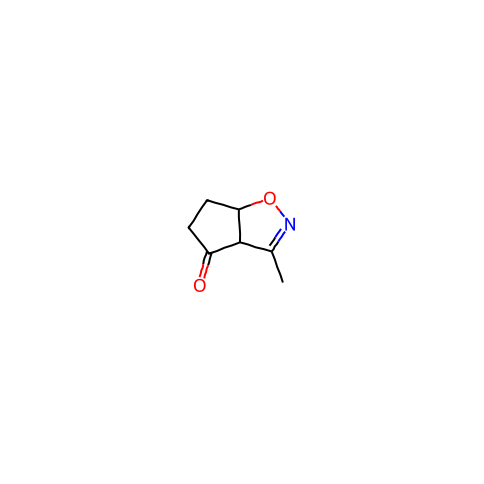 CC1=NOC2CCC(=O)C12